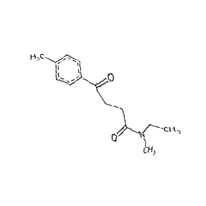 CCN(C)C(=O)CCC(=O)c1ccc(C)cc1